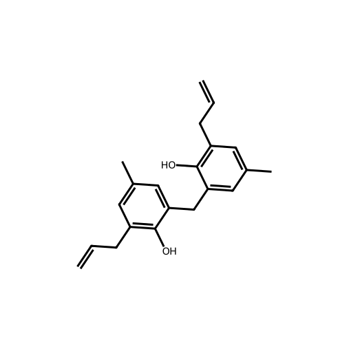 C=CCc1cc(C)cc(Cc2cc(C)cc(CC=C)c2O)c1O